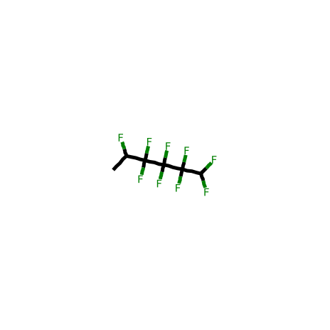 CC(F)C(F)(F)C(F)(F)C(F)(F)[C](F)F